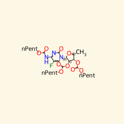 CCCCCOC(=O)Nc1nc(=O)n([C@@H]2O[C@H](C)C(OC(=O)OCCCCC)[C@@H]2OC(=O)OCCCCC)cc1F